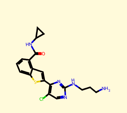 NCCCNc1ncc(Cl)c(-c2cc3c(C(=O)NC4CC4)cccc3s2)n1